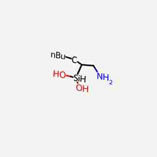 CCCCCC(CN)[SiH](O)O